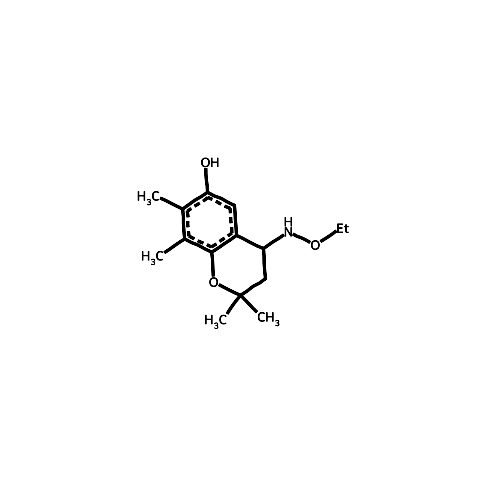 CCONC1CC(C)(C)Oc2c1cc(O)c(C)c2C